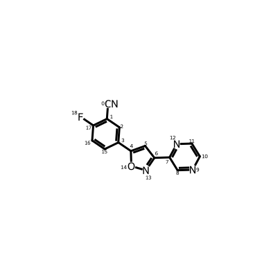 N#Cc1cc(-c2cc(-c3cnccn3)no2)ccc1F